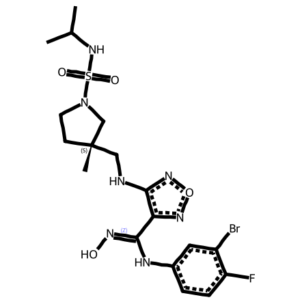 CC(C)NS(=O)(=O)N1CC[C@@](C)(CNc2nonc2/C(=N/O)Nc2ccc(F)c(Br)c2)C1